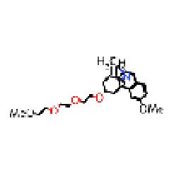 COCCOCCOCCOC1CC[C@H]2[C@H]3Cc4ccc(OC)cc4[C@@]2(CCN3C)C1